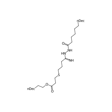 CCCCCCCCCCCCCCCC(=O)NNC(=N)CCCSCCC(=O)OCCCCCCCCCCCC